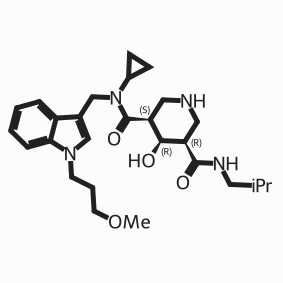 COCCCn1cc(CN(C(=O)[C@H]2CNC[C@@H](C(=O)NCC(C)C)[C@H]2O)C2CC2)c2ccccc21